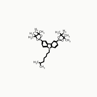 CC(C)CCCCCn1c2ccc(B3OC(C)(C)C(C)(C)O3)cc2c2cc(B3OC(C)(C)C(C)(C)O3)ccc21